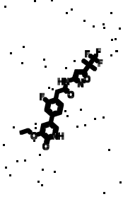 CCOc1cc(-c2ccc(CC(=O)Nc3cc(C(C)(C)C(F)(F)F)on3)c(F)c2)c[nH]c1=O